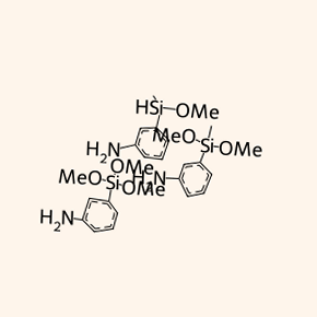 CO[SiH](C)c1cccc(N)c1.CO[Si](C)(OC)c1cccc(N)c1.CO[Si](OC)(OC)c1cccc(N)c1